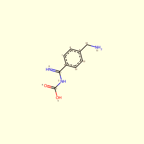 N=C(NC(=O)O)c1ccc(CN)cc1